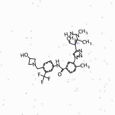 C=C/C(=C(/C)N(C)N)c1cn(-c2cc(C(=O)Nc3ccc(CN4CC(O)C4)c(C(F)(F)F)c3)ccc2C)nn1